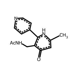 CC(=O)NCc1c(-c2ccncc2)[nH]c(C)cc1=O